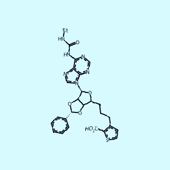 CCNC(=O)Nc1ncnc2c1ncn2C1OC(CCCc2ccsc2C(=O)O)C2O[C@H](c3ccccc3)OC21